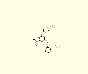 COc1ccccc1S(=O)(=O)Nc1cc(OC2CCN(C)CC2)c2c(c1Cl)C1(CCC1)C(=O)N2